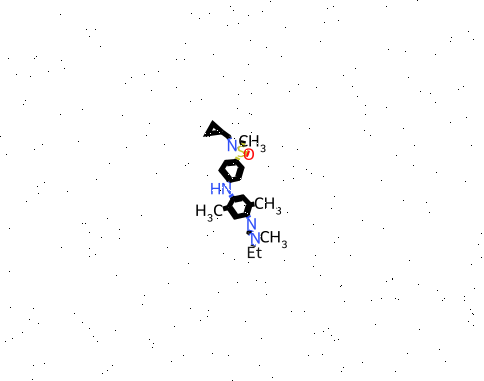 CCN(C)C=Nc1cc(C)c(Nc2ccc(S(C)(=O)=NCC3CC3)cc2)cc1C